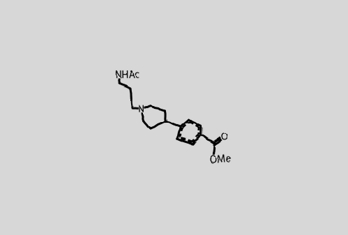 COC(=O)c1ccc(C2CCN(CCCNC(C)=O)CC2)cc1